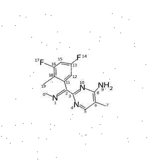 C/N=C(/c1ncc(C)c(N)n1)c1cc(F)cc(F)c1C